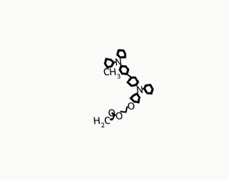 C=CC(=O)OCCCOc1ccc(N(c2ccccc2)c2ccc(-c3ccc(N(c4ccccc4)c4cccc(C)c4)cc3)cc2)cc1